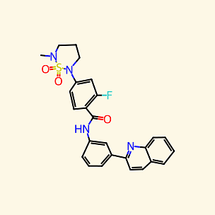 CN1CCCN(c2ccc(C(=O)Nc3cccc(-c4ccc5ccccc5n4)c3)c(F)c2)S1(=O)=O